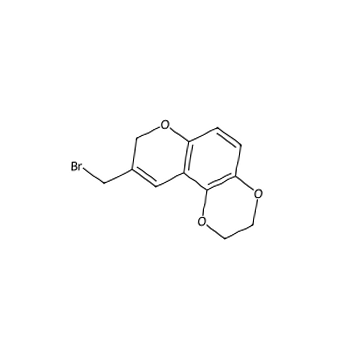 BrCC1=Cc2c(ccc3c2OCCO3)OC1